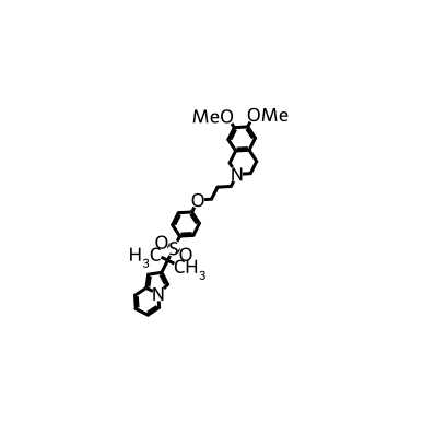 COc1cc2c(cc1OC)CN(CCCOc1ccc(S(=O)(=O)C(C)(C)c3cc4ccccn4c3)cc1)CC2